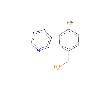 Br.PCc1ccccc1.c1ccncc1